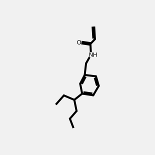 C=CC(=O)NCc1cccc(C(CC)CCC)c1